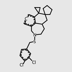 Clc1ccc(CSN2CCC3CC4(CCCC4)C4(CC4)c4cccc(c43)C2)cc1Cl